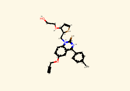 C#CCOc1ccc2c(c1)c(-c1ccc(C(C)C)cc1)nc(=S)n2CC1SC=CC1OCCO